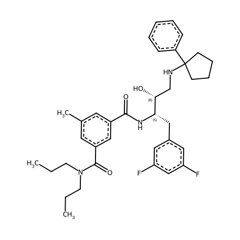 CCCN(CCC)C(=O)c1cc(C)cc(C(=O)N[C@@H](Cc2cc(F)cc(F)c2)[C@H](O)CNC2(c3ccccc3)CCCC2)c1